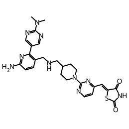 CN(C)c1ncc(-c2nc(N)ccc2CNCC2CCN(c3nccc(/C=C4\SC(=O)NC4=O)n3)CC2)cn1